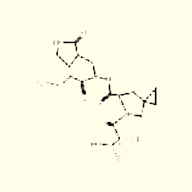 CC(C)[C@H](O)[C@@H](O)C(=O)N1CC2(CC2)CC1C(=O)NC(CC1CCNC1=O)C(=O)COC(F)(F)F